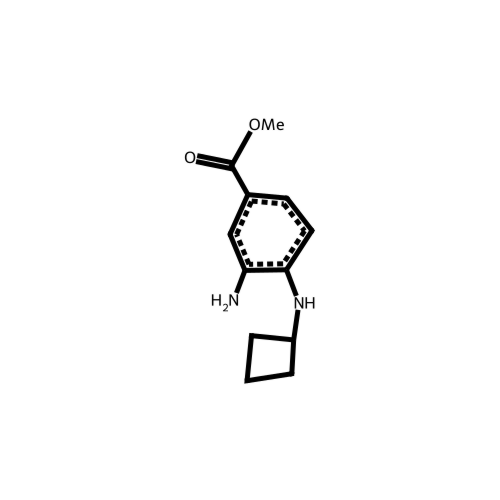 COC(=O)c1ccc(NC2CCC2)c(N)c1